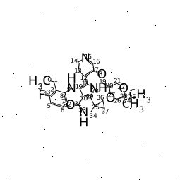 CCc1c(F)cccc1Nc1c(-c2ccncc2OC[C@H]2COC(C)(C)CO2)[nH]c2c1C(=O)NCC21CC1